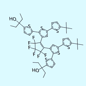 CCC(O)(CC)c1ccc(-c2sc(-c3ccc(C(C)(C)C)s3)cc2C2=C(c3cc(-c4ccc(C(C)(C)C)s4)sc3-c3ccc(C(O)(CC)CC)s3)C(F)(F)C(F)(F)C2(F)F)s1